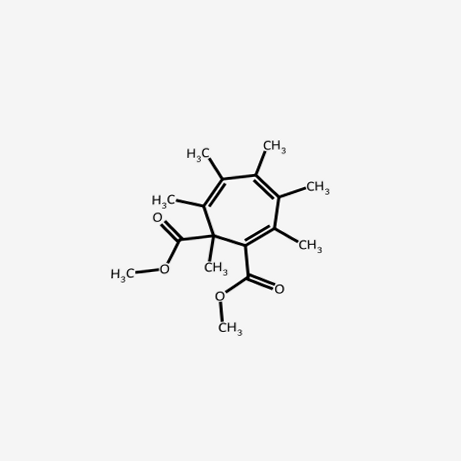 COC(=O)C1=C(C)C(C)=C(C)C(C)=C(C)C1(C)C(=O)OC